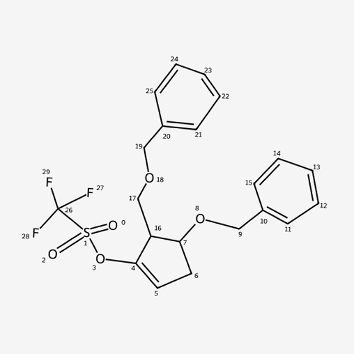 O=S(=O)(OC1=CCC(OCc2ccccc2)C1COCc1ccccc1)C(F)(F)F